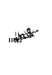 CCCN(C(=O)C1=C(C)c2ccc(C(=O)NO)cc2CC1)C(C)C